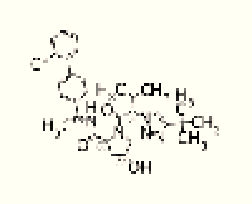 CC(C)[C@@H](C(=O)N1C[C@H](O)C[C@H]1C(=O)N[C@@H](C)c1ccc(-c2ccccc2Cl)cc1)n1cc(C(C)(C)C)nn1